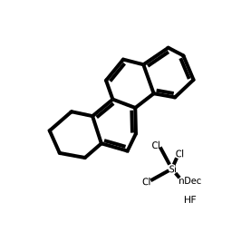 CCCCCCCCCC[Si](Cl)(Cl)Cl.F.c1ccc2c(c1)ccc1c3c(ccc12)CCCC3